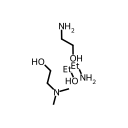 CCN.CCO.CN(C)CCO.NCCO